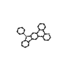 c1ccc(-n2c3ccccc3c3cc4c(cc32)c2ccccc2c2ncccc42)cc1